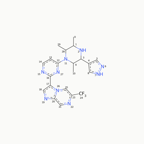 CC1NC(c2cn[nH]c2)C(C)N(c2ccnc(-c3cnc4cnc(C(F)(F)F)cn34)n2)C1C